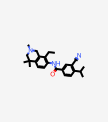 CCc1c(NC(=O)c2ccc(C(C)C)c(C#N)c2)ccc2c1CN(C)CC2(C)C